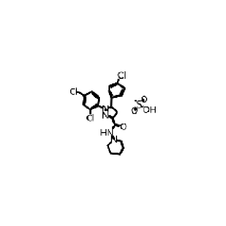 CS(=O)(=O)O.O=C(NN1CCCCC1)C1=NN(c2ccc(Cl)cc2Cl)C(c2ccc(Cl)cc2)C1